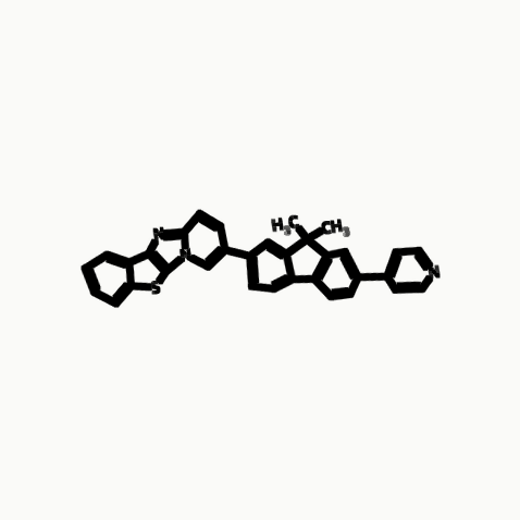 CC1(C)c2cc(-c3ccncc3)ccc2-c2ccc(-c3ccc4nc5c6ccccc6sc5n4c3)cc21